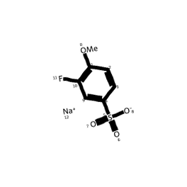 COc1ccc(S(=O)(=O)[O-])cc1F.[Na+]